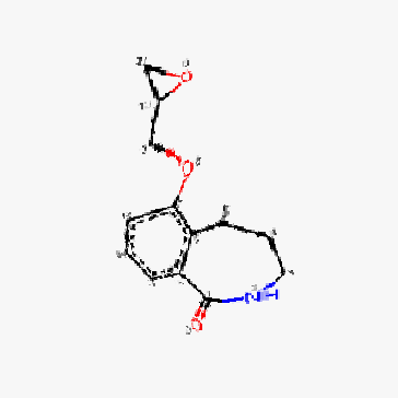 O=C1NCCCc2c(OCC3CO3)cccc21